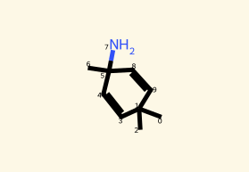 CC1(C)C=CC(C)(N)C=C1